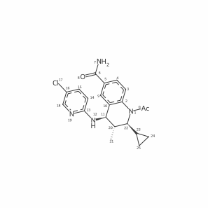 CC(=O)N1c2ccc(C(N)=O)cc2[C@H](Nc2ccc(Cl)cn2)[C@@H](C)[C@@H]1C1CC1